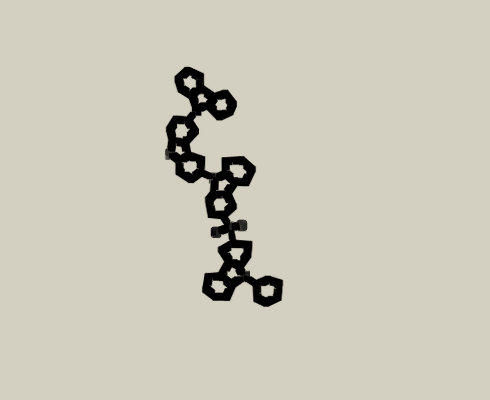 O=S(=O)(c1ccc2c(c1)c1ccccc1n2-c1ccccc1)c1ccc2c(c1)c1ccccc1n2-c1ccc2sc3ccc(-n4c5ccccc5c5ccccc54)cc3c2c1